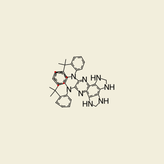 CC1(C)c2ccccc2N(c2nc3c4c(c5c(c3nc2N2c3ccccc3C(C)(C)c3ccccc32)NCN5)NCN4)c2ccccc21